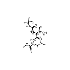 COC(=O)[C@H](CSC)NC(=O)[C@@H](NC(=O)OC(C)(C)C)[C@@H](C)O